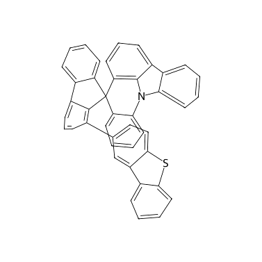 c1ccc2c(c1)-c1cccc(-c3ccc4sc5ccccc5c4c3)c1C21c2ccccc2-n2c3ccccc3c3cccc1c32